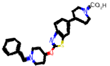 O=C(O)N1CC=C(c2ccc3nc(OC4CCN(Cc5ccccc5)CC4)sc3c2)CC1